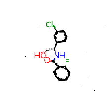 O=C(N[C@H](CO)c1cccc(Cl)c1)c1ccccc1F